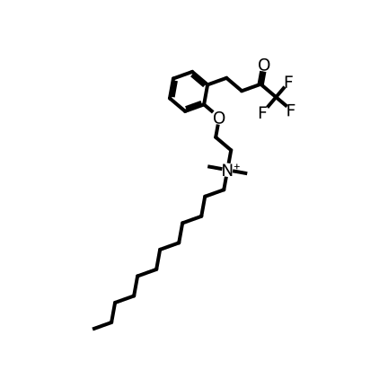 CCCCCCCCCCCC[N+](C)(C)CCOc1ccccc1CCC(=O)C(F)(F)F